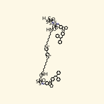 CN1C(=O)/C(=c2\s/c(=C/c3ccc4c(c3)C3CCCC3N4c3ccc(C=C(c4ccccc4)c4ccccc4)cc3)c(=O)n2CC(=O)NCCCCCCCCCC[n+]2ccc(-c3cc[n+](CCCCCCCCCCNOCCN4C(=O)/C(=C\c5ccc6c(c5)C5CCCC5N6c5ccc(C=C(c6ccccc6)c6ccccc6)cc5)SC4=S)cc3)cc2)SC1=S